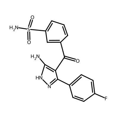 Nc1[nH]nc(-c2ccc(F)cc2)c1C(=O)c1cccc(S(N)(=O)=O)c1